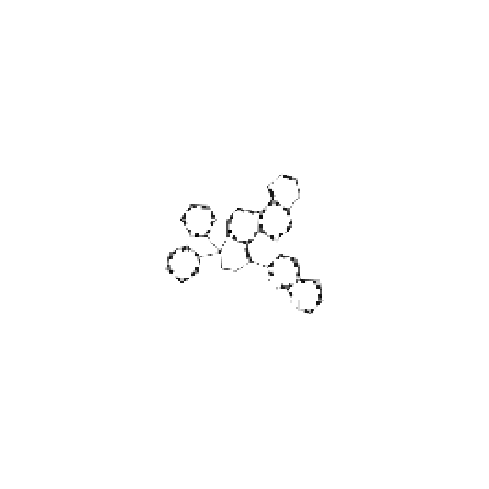 C1=CCc2ccc3c4c(ccc3c2=C1)C(c1ccccc1)(c1ccccc1)CCC=4c1ccc2cccnc2n1